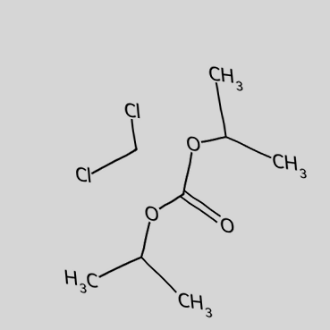 CC(C)OC(=O)OC(C)C.ClCCl